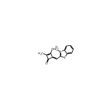 CC1=C(O)/C(=C\c2sc3ccccc3[n+]2C)C1=O